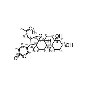 CC(=O)O[C@H]1[C@H]2O[C@]23[C@@H]2CC[C@]4(O)C[C@@H](O)CC[C@]4(C)C2CC[C@]3(C)[C@H]1c1ccc(=O)oc1